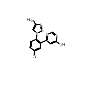 Cc1cn(-c2ccc(Cl)cc2-c2cc(O)ncn2)nn1